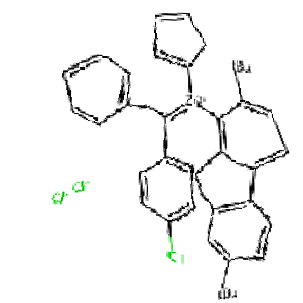 CC(C)(C)c1ccc2c(c1)Cc1c-2ccc(C(C)(C)C)[c]1/[Zr+2]([C]1=CC=CC1)=[C](/c1ccccc1)c1ccc(Cl)cc1.[Cl-].[Cl-]